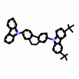 CC(C)(C)c1ccc2c(c1)c1cc(C(C)(C)C)ccc1n2-c1ccc2c(c1)CCc1cc(-n3c4ccccc4c4ccccc43)ccc1-2